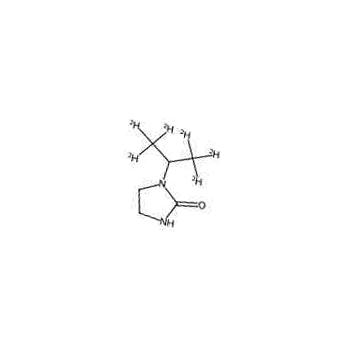 [2H]C([2H])([2H])C(N1CCNC1=O)C([2H])([2H])[2H]